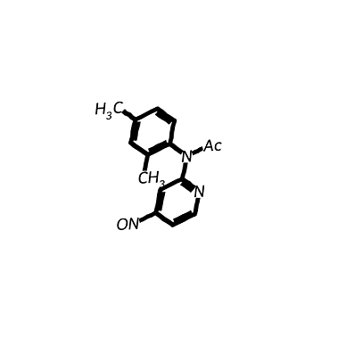 CC(=O)N(c1cc(N=O)ccn1)c1ccc(C)cc1C